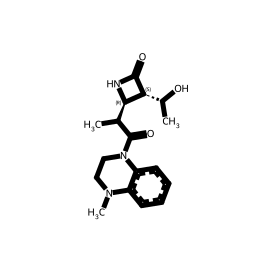 CC(C(=O)N1CCN(C)c2ccccc21)[C@H]1NC(=O)[C@@H]1C(C)O